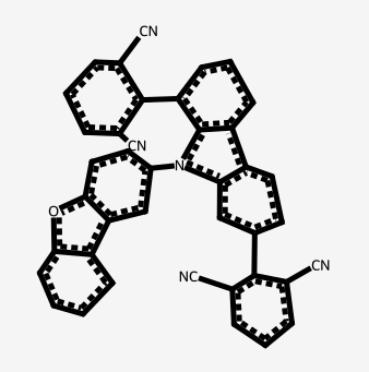 N#Cc1cccc(C#N)c1-c1ccc2c3cccc(-c4c(C#N)cccc4C#N)c3n(-c3ccc4oc5ccccc5c4c3)c2c1